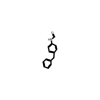 O=[C]Nc1ccc(Cc2ccccc2)cc1